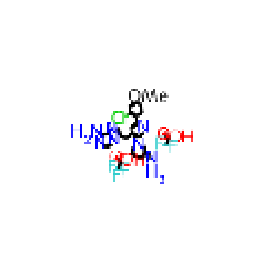 COc1ccc(-c2cc(Cc3cnc4c(N)nccn34)c(N3CCC[C@@H](N)C3)cn2)c(Cl)c1.O=C(O)C(F)(F)F.O=C(O)C(F)(F)F